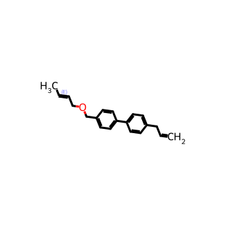 C=CCc1ccc(-c2ccc(COC/C=C/C)cc2)cc1